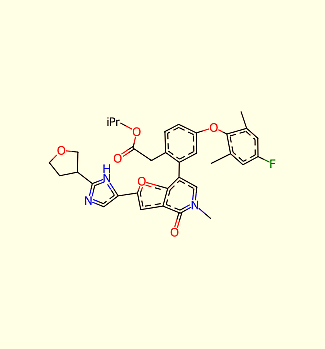 Cc1cc(F)cc(C)c1Oc1ccc(CC(=O)OC(C)C)c(-c2cn(C)c(=O)c3cc(-c4cnc(C5CCOC5)[nH]4)oc23)c1